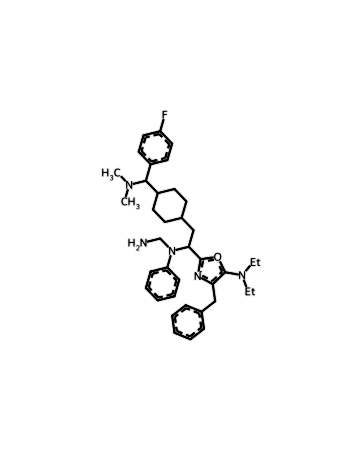 CCN(CC)c1oc(C(CC2CCC(C(c3ccc(F)cc3)N(C)C)CC2)N(CN)c2ccccc2)nc1Cc1ccccc1